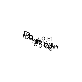 CCOC(=O)[C@@H]1[C@@H](Cc2ccnc(NC(=O)C(C)C)c2)C(=O)N1C(=O)N[C@H](C)c1ccc2c(c1)OC(F)(F)O2